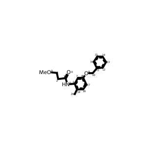 COCCC(=O)Nc1cc(OCc2ccccc2)ccc1C